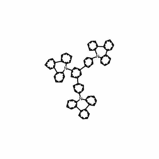 c1ccc2c(c1)-c1ccccc1N(c1ccc(-c3cc(-c4ccc(N5c6ccccc6-c6ccccc6-c6ccccc65)cc4)cc(N4c5ccccc5-c5ccccc5-c5ccccc54)c3)cc1)c1ccccc1-2